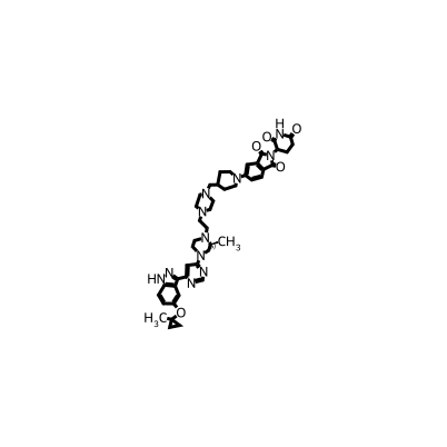 C[C@H]1CN(c2cc(-c3n[nH]c4ccc(OC5(C)CC5)cc34)ncn2)CCN1CCN1CCN(CC2CCN(c3ccc4c(c3)C(=O)N(C3CCC(=O)NC3=O)C4=O)CC2)CC1